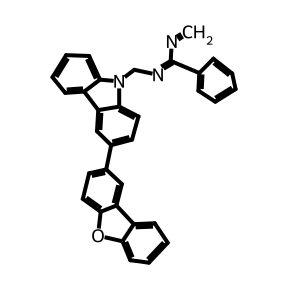 C=N/C(=N\Cn1c2ccccc2c2cc(-c3ccc4oc5ccccc5c4c3)ccc21)c1ccccc1